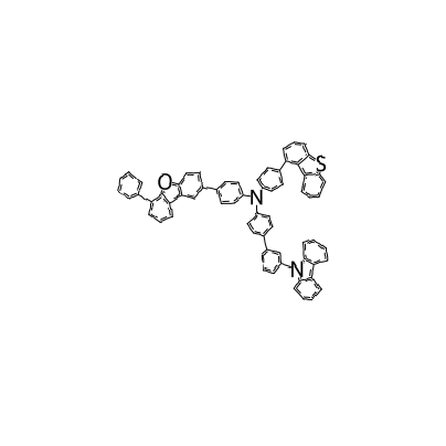 c1ccc(-c2cccc3c2oc2ccc(-c4ccc(N(c5ccc(-c6cccc(-n7c8ccccc8c8ccccc87)c6)cc5)c5ccc(-c6cccc7sc8ccccc8c67)cc5)cc4)cc23)cc1